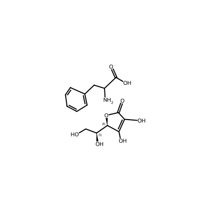 NC(Cc1ccccc1)C(=O)O.O=C1O[C@H]([C@@H](O)CO)C(O)=C1O